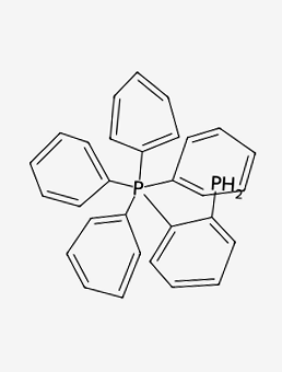 Pc1ccccc1P(c1ccccc1)(c1ccccc1)(c1ccccc1)c1ccccc1